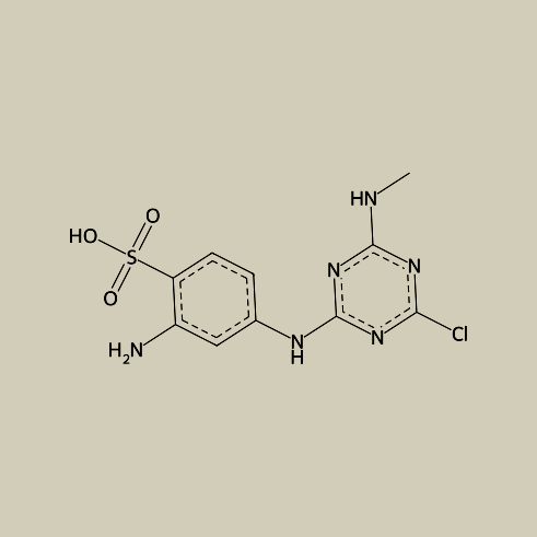 CNc1nc(Cl)nc(Nc2ccc(S(=O)(=O)O)c(N)c2)n1